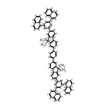 CC1(C)c2cc(-c3ccc(-c4ccc5c(c4)C(C)(C)c4cc(-c6nc(-c7cccc8ccccc78)cc(-c7cccc8ccccc78)n6)ccc4-5)cc3)ccc2-c2ccc(-c3nc(-c4cccc5ccccc45)cc(-c4cccc5ccccc45)n3)cc21